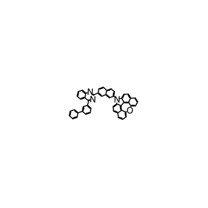 c1ccc(-c2cccc(-c3nc(-c4ccc5ccc(-n6c7ccc8cccc9oc%10cccc%11ccc6c(c%11%10)c7c89)cc5c4)nc4ccccc34)c2)cc1